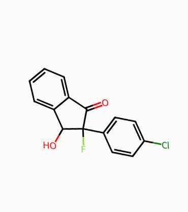 O=C1c2ccccc2C(O)C1(F)c1ccc(Cl)cc1